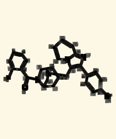 O=C(c1ccccc1F)N1CC2CCC1CN2Cc1c(-c2ccc(Br)cc2)nc2ccccn12